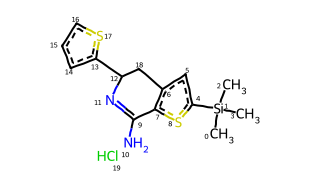 C[Si](C)(C)c1cc2c(s1)C(N)=NC(c1cccs1)C2.Cl